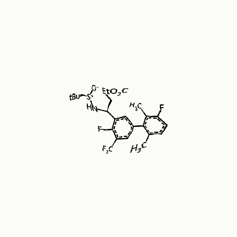 CCOC(=O)C[C@H](N[S@+]([O-])C(C)(C)C)c1cc(-c2c(C)ccc(F)c2C)cc(C(F)(F)F)c1F